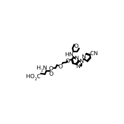 N#Cc1ccc(-n2cnc3cc(OCCOCCOC(=O)[C@@H](N)CCC(=O)O)c(NC4CCOCC4)nc32)nc1